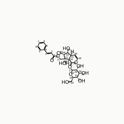 O=C(/C=C/c1ccccc1)OC[C@]1(O)[C@H]2[C@H](O[C@@H]3O[C@H](CO)[C@@H](O)[C@H](O)[C@H]3O)OC=C[C@H]2[C@H](O)[C@@H]1Cl